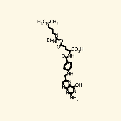 CCN/C(=N\CCCN(C)C)OC(=O)CC[C@H](NC(=O)c1ccc(NCc2cnc3nc(N)nc(O)c3n2)cc1)C(=O)O